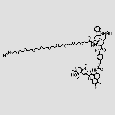 CC[C@@]1(O)C(=O)OCc2c1cc1n(c2=O)Cc2c-1nc1cc(F)c(C)c3c1c2[C@@H](NC(=O)OCc1ccc(NC(=O)[C@H](CCCCNC)NC(=O)[C@H](Cc2c[nH]c4ccccc24)NC(=O)CCOCCOCCOCCOCCOCCOCCOCCOCCOCCN=[N+]=[N-])cc1)CC3